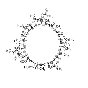 C/C=C/C[C@@H](C)[C@@H](O)[C@H]1C(=O)N[C@@H](CC)C(=O)N(C)CC(=O)N(C)[C@@H](CC(C)C)C(=O)N[C@@H](C(C)C)C(=O)N(C)[C@@H](CC(C)C)C(=O)N[C@@H](C)C(=O)N[C@H](C)C(=O)N(C)[C@@H](CC(C)C)C(=O)N(C)[C@@H](CC(C)C)C(=O)N(C)[C@@H](C(C)C)C(=O)N1C.C[S+](C)[O-]